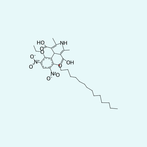 CCCCCCCCCCCCCCCc1c([N+](=O)[O-])cc([N+](=O)[O-])c(OCC)c1C1C(C(=O)O)=C(C)NC(C)=C1C(=O)O